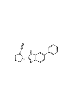 N#CN1CCC[C@H]1c1nc2ccc(-c3ccccc3)cc2[nH]1